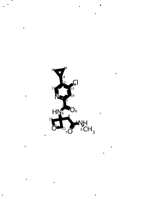 CNC(=O)CC1(NC(=O)c2cc(Cl)c(C3CC3)cn2)COC1